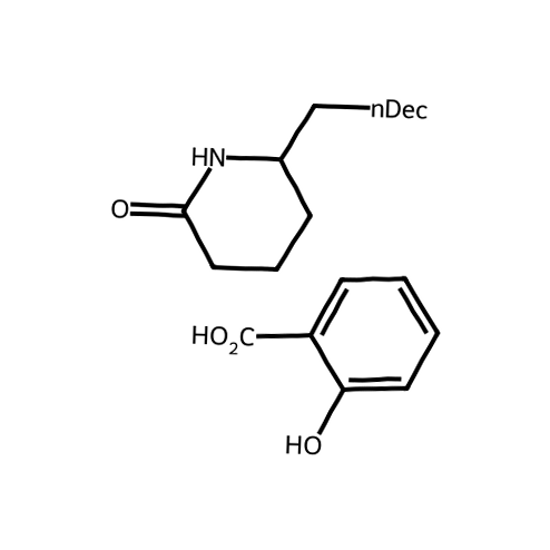 CCCCCCCCCCCC1CCCC(=O)N1.O=C(O)c1ccccc1O